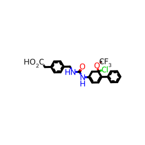 O=C(O)Cc1ccc(CNC(=O)NC2=CC=C(c3ccccc3)C(Cl)(OC(F)(F)F)C2)cc1